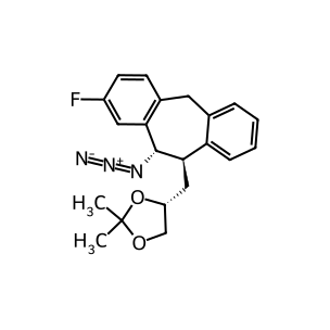 CC1(C)OC[C@@H](C[C@@H]2c3ccccc3Cc3ccc(F)cc3[C@H]2N=[N+]=[N-])O1